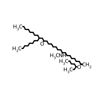 C=C(CCCCCCCC(CCCCCCCC(=O)CC(CCCCCCCC)CCCCCCCC)NC)OC(CC)CCCC